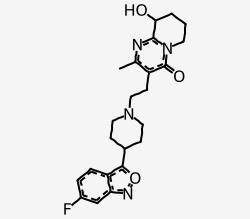 Cc1nc2n(c(=O)c1CCN1CCC(c3onc4cc(F)ccc34)CC1)CCCC2O